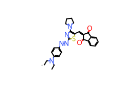 [CH2]CN(CC)c1ccc(/N=N/c2nc(N3CCCC3)c(C=C3C(=O)c4ccccc4C3=O)s2)cc1